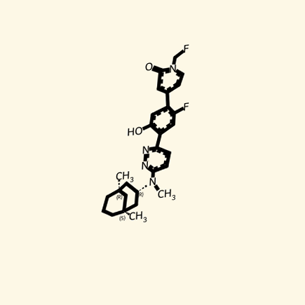 CN(c1ccc(-c2cc(F)c(-c3ccn(CF)c(=O)c3)cc2O)nn1)[C@H]1C[C@]2(C)CCC[C@](C)(C1)C2